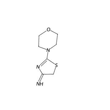 N=C1CSC(N2CCOCC2)=N1